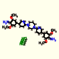 COc1cc(-c2ccc(N3CCCN(c4ccc(-c5cc(OC)c(N)c(OC)c5)cn4)CC3)nc2)cc(OC)c1N.Cl.Cl.Cl.Cl